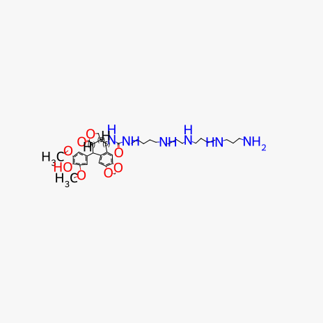 COc1cc(C2c3cc4c(cc3[C@@H](NC(=O)NCCCCCNCCCNCCCCNCCCN)[C@H]3COC(=O)[C@H]23)OCO4)cc(OC)c1O